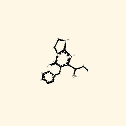 CCC(N)c1nc2n(c(=O)c1Cc1ccccc1)CCS2